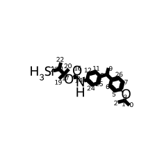 CC(C)Oc1ccc(C(C)c2ccc(NC(=O)OC(C)(C)C(C)[SiH3])cc2)cc1